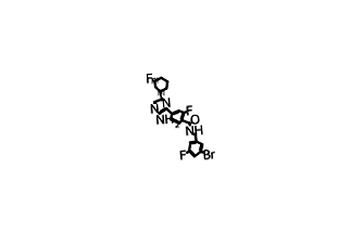 Nc1ncc([C@@H]2CCC[C@@H](F)C2)nc1-c1ccc(C(=O)NCc2cc(F)cc(Br)c2)c(F)c1